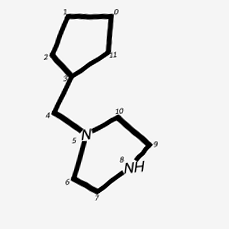 C1CCC(CN2CCNCC2)C1